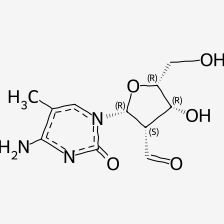 Cc1cn([C@@H]2O[C@H](CO)[C@H](O)[C@@H]2C=O)c(=O)nc1N